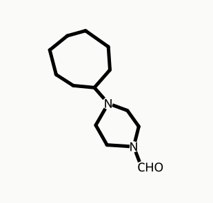 O=CN1CCN(C2CCCCCCC2)CC1